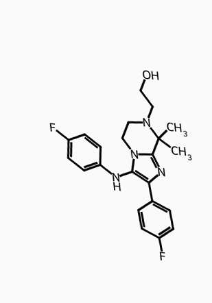 CC1(C)c2nc(-c3ccc(F)cc3)c(Nc3ccc(F)cc3)n2CCN1CCO